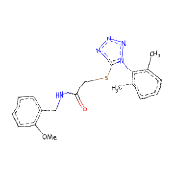 COc1ccccc1CNC(=O)CSc1nnnn1-c1c(C)cccc1C